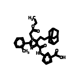 CCOC(=O)Cn1c(-c2ccccc2C)nc(C(=O)Nc2cccc(C(=O)O)c2)c1CCC12CC3CC(CC(C3)C1)C2